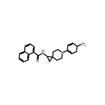 O=C(NC1CC12CCN(C1=CCC(C(F)(F)F)C=C1)CC2)c1cccc2ccccc12